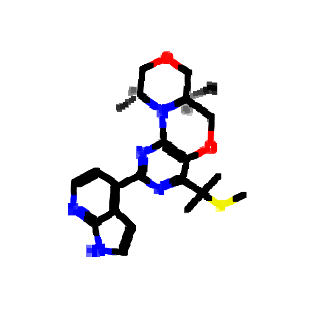 CSC(C)(C)c1nc(-c2ccnc3[nH]ccc23)nc2c1OC[C@@H]1COC[C@@H](C)N21